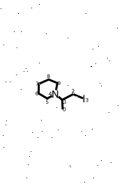 CC(CI)N1CCCCC1